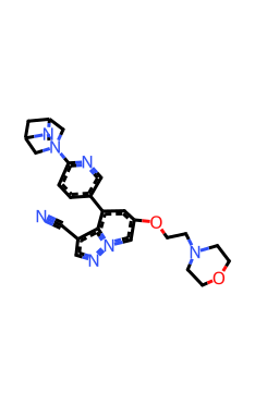 CN1C2CC1CN(c1ccc(-c3cc(OCCN4CCOCC4)cn4ncc(C#N)c34)cn1)C2